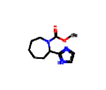 CC(C)(C)OC(=O)N1CCCCCC1c1ncc[nH]1